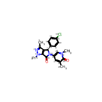 Cc1nn(C(C)C)c2c1[C@@H](c1ccc(Cl)cc1)N(c1cc(C)c(=O)n(C)c1)C2=O